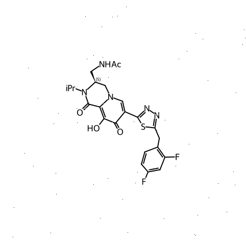 CC(=O)NC[C@H]1Cn2cc(-c3nnc(Cc4ccc(F)cc4F)s3)c(=O)c(O)c2C(=O)N1C(C)C